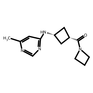 Cc1cc(N[C@H]2C[C@@H](C(=O)N3CCC3)C2)ncn1